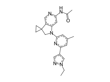 CCn1cc(-c2cc(C)cc(N3CC4(CC4)c4cnc(NC(C)=O)cc43)n2)cn1